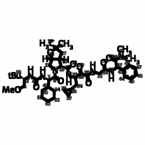 COC[C@@H](NC(=O)N[C@H](C(=O)N1C[C@@H]2OC(C)(C)C[C@@H]2[C@H]1C(=O)NC(CC1CC1)C(=O)C(=O)NCC(=O)NC(C(=O)N(C)C)c1ccccc1)C1CCCCC1)C(C)(C)C